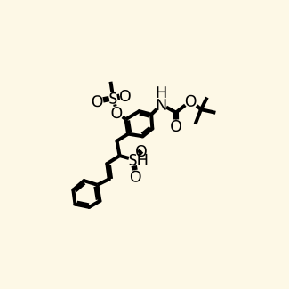 CC(C)(C)OC(=O)Nc1ccc(CC(C=Cc2ccccc2)[SH](=O)=O)c(OS(C)(=O)=O)c1